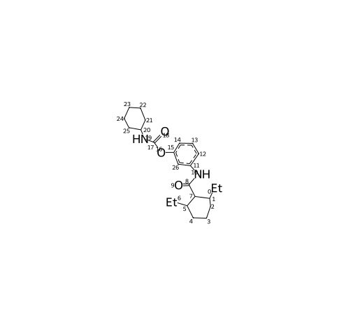 CCC1CCCC(CC)C1C(=O)Nc1cccc(OC(=O)NC2CCCCC2)c1